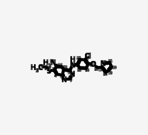 CCSc1cc2ncnc(Nc3ccc(OCc4ccccn4)c(Cl)c3)c2cc1N